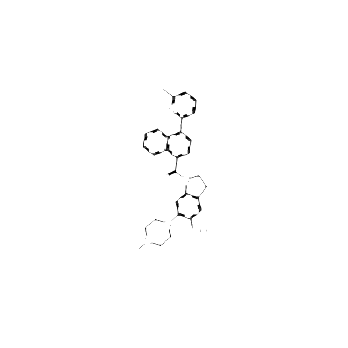 COc1cc2c(cc1N1C[C@@H](C)N(C)[C@@H](C)C1)N(C(=O)c1ccc(-c3cccc(C)n3)c3ccccc13)CC2